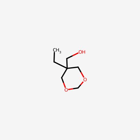 CCC1(CO)COCOC1